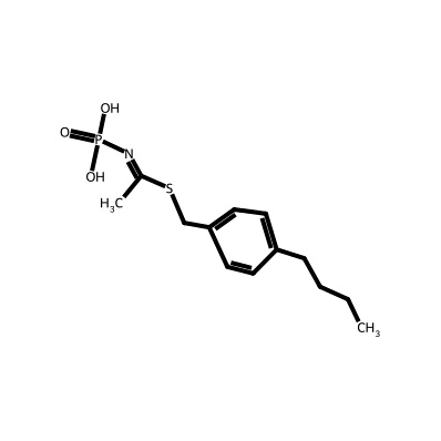 CCCCc1ccc(CS/C(C)=N/P(=O)(O)O)cc1